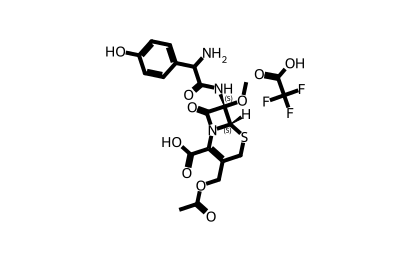 CO[C@@]1(NC(=O)C(N)c2ccc(O)cc2)C(=O)N2C(C(=O)O)=C(COC(C)=O)CS[C@H]21.O=C(O)C(F)(F)F